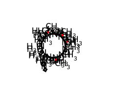 C/C=C/C[C@@H](C)[C@@H](O)[C@H]1C(=O)N[C@@H](CC)C(=O)N(C)[C@H](C)C(=O)N(C)[C@@H]([C@H](C)CCN2CCN(C3CCC3)CC2)C(=O)N[C@@H](C(C)C)C(=O)N(C)[C@@H](CC(C)C)C(=O)N[C@@H](C)C(=O)N[C@H](C)C(=O)N(C)[C@@H](CC(C)C)C(=O)N(C)[C@@H](CC(C)C)C(=O)N(C)[C@@H](C(C)C)C(=O)N1C